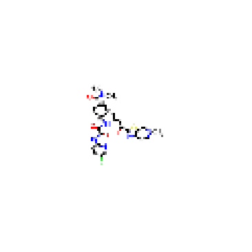 CN1CCc2nc(C(=O)CCC[C@@H]3C[C@@H](C(=O)N(C)C)CC[C@@H]3NC(=O)C(=O)Nc3ccc(Cl)cn3)sc2C1